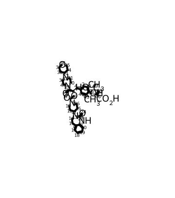 Cc1cc(C[C@@H](OC(=O)N2CCC(N3CCc4ccccc4NC3=O)CC2)C(=O)N2CCN(C3CCOCC3)CC2)cc(C)c1O.O=C(O)C=CC(=O)O